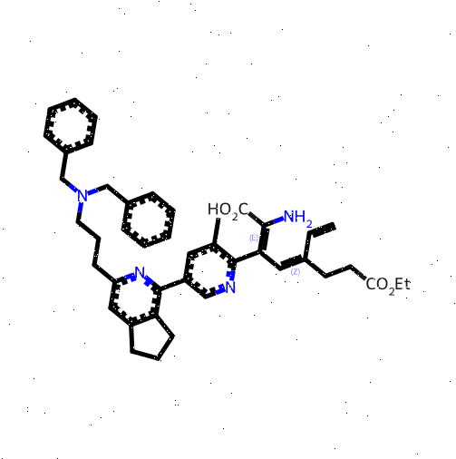 C=C/C(=C\C(=C(/N)C(=O)O)c1ncc(-c2nc(CCCN(Cc3ccccc3)Cc3ccccc3)cc3c2CCC3)cc1C)CCC(=O)OCC